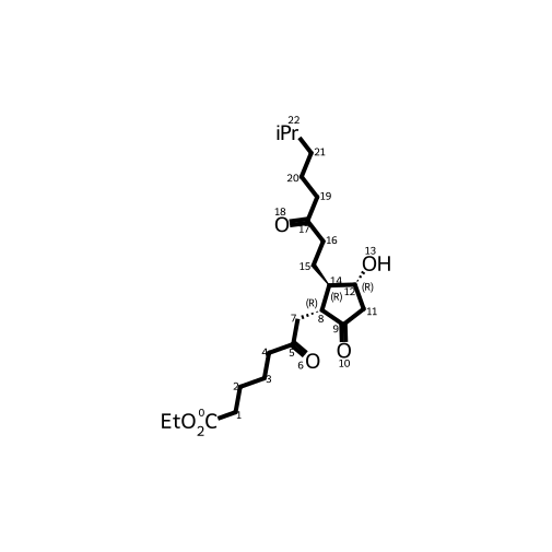 CCOC(=O)CCCCC(=O)C[C@H]1C(=O)C[C@@H](O)[C@@H]1CCC(=O)CCCC(C)C